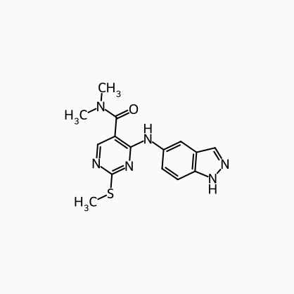 CSc1ncc(C(=O)N(C)C)c(Nc2ccc3[nH]ncc3c2)n1